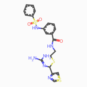 NC(N)=NC(SCCNC(=O)c1cccc(NS(=O)(=O)c2ccccc2)c1)c1cscn1